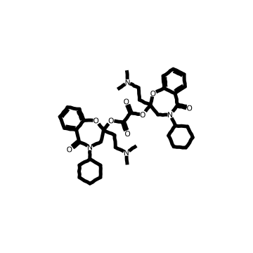 CN(C)CCC1(OC(=O)C(=O)OC2(CCN(C)C)CN(C3CCCCC3)C(=O)c3ccccc3O2)CN(C2CCCCC2)C(=O)c2ccccc2O1